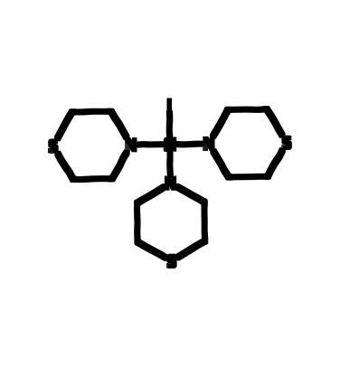 I[Si](N1CCSCC1)(N1CCSCC1)N1CCSCC1